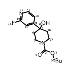 CC(C)(C)OC(=O)N1CCC(O)(c2ccnc(F)c2)CC1